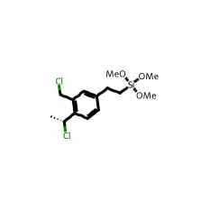 CO[Si](CCc1ccc([C@@H](C)Cl)c(CCl)c1)(OC)OC